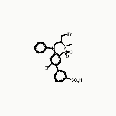 CC(C)C[C@@H]1CN(c2ccccc2)c2cc(Cl)c(-c3cccc(S(=O)(=O)O)c3)cc2S(=O)(=O)N1C